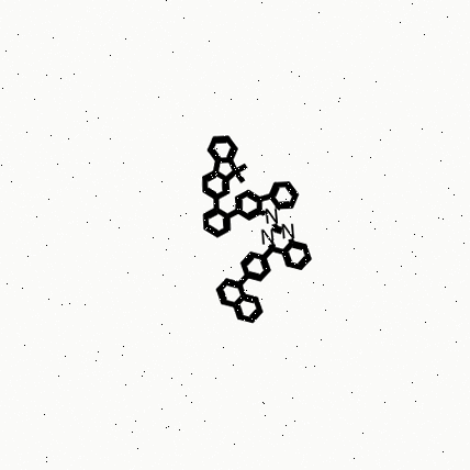 CC1(C)c2ccccc2-c2ccc(-c3ccccc3-c3ccc4c5ccccc5n(-c5nc(-c6ccc(-c7cccc8ccccc78)cc6)c6ccccc6n5)c4c3)cc21